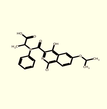 CC(C)Oc1ccc2c(Cl)nc(C(=O)N(c3ccccc3)C(C)C(=O)O)c(O)c2c1